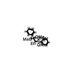 CCC([Si](OC)(OC)c1ccccc1)[Si](OC)(OC)c1ccccc1